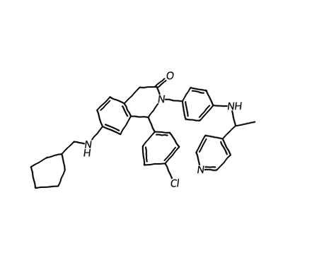 CC(Nc1ccc(N2C(=O)Cc3ccc(NCC4CCCCC4)cc3C2c2ccc(Cl)cc2)cc1)c1ccncc1